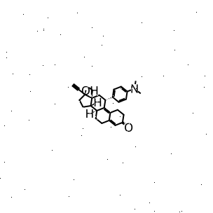 C#C[C@@]1(O)CC[C@H]2[C@@H]3CCC4=CC(=O)CCC4=C3[C@@H](c3ccc(N(C)C)cc3)C[C@]21CC